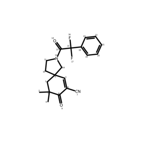 CC1(C)CC2(C=C(C#N)C1=O)CCN(C(=O)C(F)(F)c1ccccc1)C2